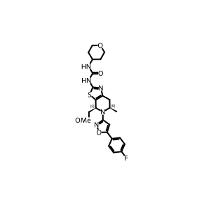 COC[C@H]1c2sc(NC(=O)NC3CCOCC3)nc2C[C@@H](C)N1c1cc(-c2ccc(F)cc2)on1